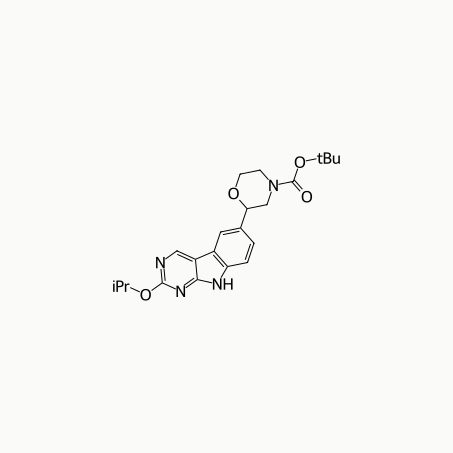 CC(C)Oc1ncc2c(n1)[nH]c1ccc(C3CN(C(=O)OC(C)(C)C)CCO3)cc12